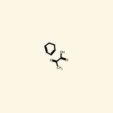 C1=CCCC=C1.CC(=O)C(=O)O